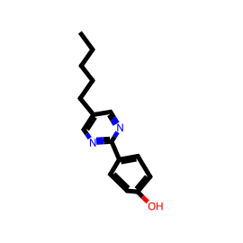 CCCCCc1cnc(-c2ccc(O)cc2)nc1